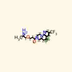 C[C@@H](N)COCCC(=O)N1CCN2c3ncc(C(F)(F)F)cc3C(F)(F)CC2C1